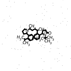 CC(C)c1ccccc1C1CCCN1C(C)CCC(C)c1ccccc1C1CCC(=O)N1C(C)(C)C